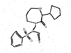 O=[C]N([C@H]1CCCNC(C2CCCC2)C1=O)S(=O)(=O)c1ccccn1